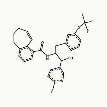 O=C(NC(Cc1cccc(SC(F)(F)F)c1)C(O)c1ccc(F)cc1)c1cccc2c1C=CCCC2